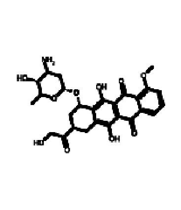 COc1cccc2c1C(=O)c1c(O)c3c(c(O)c1C2=O)CC(C(=O)CO)C[C@@H]3O[C@H]1CC(N)[C@H](O)C(C)O1